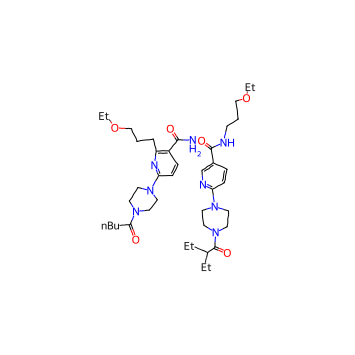 CCCCC(=O)N1CCN(c2ccc(C(N)=O)c(CCCOCC)n2)CC1.CCOCCCNC(=O)c1ccc(N2CCN(C(=O)C(CC)CC)CC2)nc1